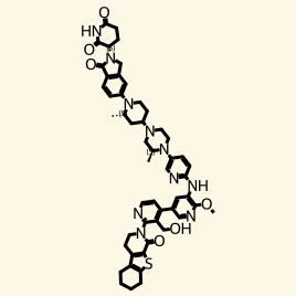 COc1ncc(-c2ccnc(N3CCc4c(sc5c4CCCC5)C3=O)c2CO)cc1Nc1ccc(N2CCN(C3CCN(c4ccc5c(c4)CN([C@H]4CCC(=O)NC4=O)C5=O)[C@@H](C)C3)C[C@@H]2C)cn1